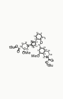 COc1cc(COc2c(C)cccc2-c2csc(N3CC[C@@H](C(=O)OC(C)(C)C)[C@@H](OC)C3)n2)cc2c1CN(C(=O)OC(C)(C)C)CC2